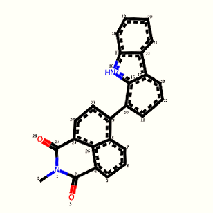 CN1C(=O)c2cccc3c(-c4cccc5c4[nH]c4ccccc45)ccc(c23)C1=O